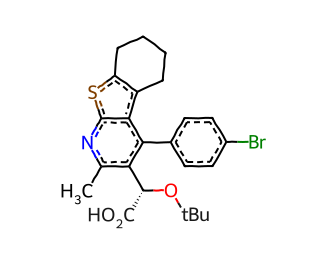 Cc1nc2sc3c(c2c(-c2ccc(Br)cc2)c1[C@H](OC(C)(C)C)C(=O)O)CCCC3